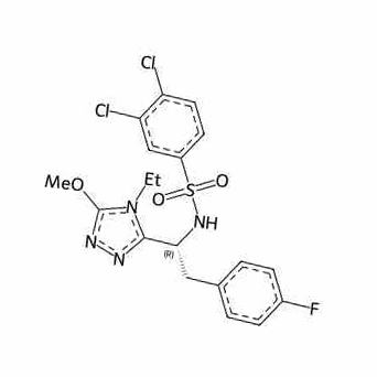 CCn1c(OC)nnc1[C@@H](Cc1ccc(F)cc1)NS(=O)(=O)c1ccc(Cl)c(Cl)c1